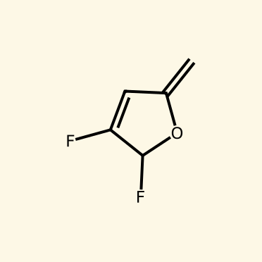 C=C1C=C(F)C(F)O1